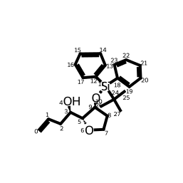 C=CC[C@@H](O)[C@H]1OCC[C@@H]1O[Si](c1ccccc1)(c1ccccc1)C(C)(C)C